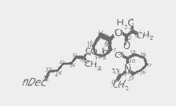 C=C(C)C(=O)OC1CCCCC1.C=CN1CCCCCC1=O.CCCCCCCCCCCCCCC=C(C)C(=O)O